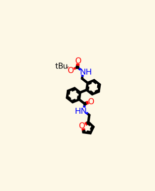 CC(C)(C)OC(=O)NCc1ccccc1-c1ccccc1C(=O)NCc1ccco1